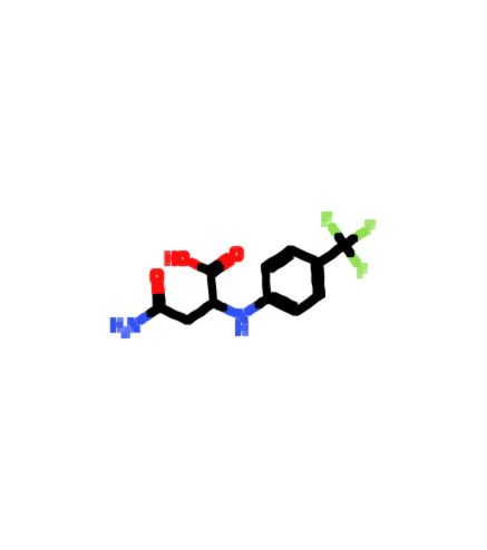 NC(=O)CC(Nc1ccc(C(F)(F)F)cc1)C(=O)O